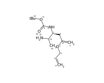 C=CCOC(=C)C[C@H](NC(=O)OC(C)(C)C)C(C)N